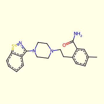 Cc1ccc(CCN2CCN(c3nsc4ccccc34)CC2)c(C(N)=O)c1